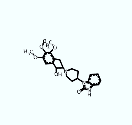 COc1cc2c(c(OC)c1OC)CC(N1CCC(n3c(=O)[nH]c4ccccc43)CC1)C2O